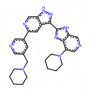 c1ncc(-c2cc3c(-c4nc5c(N6CCCCC6)cncc5[nH]4)n[nH]c3cn2)cc1CN1CCCCC1